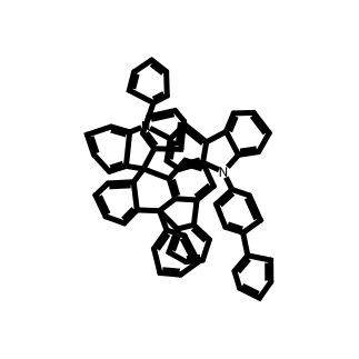 c1ccc(-c2ccc(-n3c4ccccc4c4cc(N(c5ccccc5)c5ccccc5C5(c6ccccc6)c6ccccc6C6(c7ccccc7)c7ccccc7-c7cccc5c76)ccc43)cc2)cc1